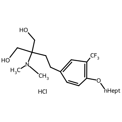 CCCCCCCOc1ccc(CCC(CO)(CO)N(C)C)cc1C(F)(F)F.Cl